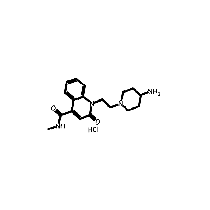 CNC(=O)c1cc(=O)n(CCN2CCC(N)CC2)c2ccccc12.Cl